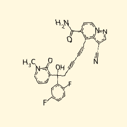 Cn1cccc(C(O)(CC#CC#Cc2c(C(N)=O)ccn3ncc(C#N)c23)c2cc(F)ccc2F)c1=O